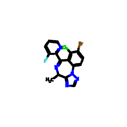 CC1N=C(c2ncccc2F)c2c(ccc(Br)c2Cl)-n2ncnc21